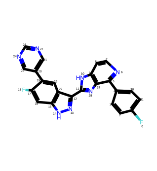 Fc1ccc(-c2nccc3[nH]c(-c4n[nH]c5cc(F)c(-c6cncnc6)cc45)nc23)cc1